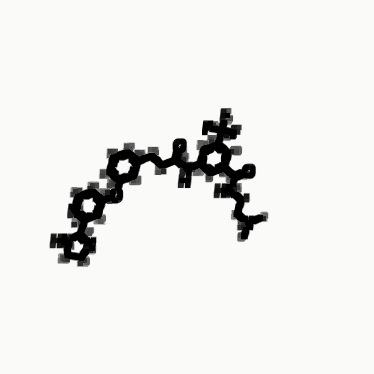 CN(C)CCNC(=O)c1cc(NC(=O)CCc2cccc(Oc3ccnc(C4=NCCN4)c3)c2)cc(C(F)(F)F)c1